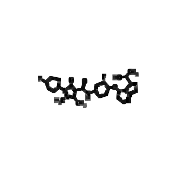 Cc1c(C(=O)Nc2ccc(Oc3ccnn4ccc(C(C)O)c34)c(F)c2)c(=O)n(-c2ccc(F)cc2)n1C